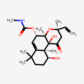 C=C[C@@]1(C)CC(=O)[C@@]2(O)[C@](C)(O1)[C@@H](OC(=O)NC)C=C1C(C)(C)CC[C@H](O)[C@@]12C